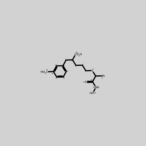 CC(C)C(SCCCC(Cc1cccc(C(=O)O)c1)C(=O)O)C(=O)NO